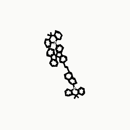 CC1(C)C2=C(CCC=C2)N(c2ccc3c(c2)C2(c4ccccc4-c4ccccc42)c2cc(/C=C/c4ccc5cc(N6c7ccccc7C(C)(C)c7ccccc76)ccc5c4)ccc2-3)c2ccccc21